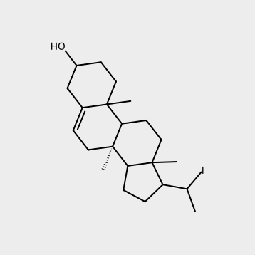 CC(I)C1CCC2C1(C)CCC1C3(C)CCC(O)CC3=CC[C@@]12C